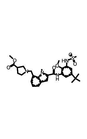 COC(=O)C1CCN(Cc2cccc3cc(C(=O)Nc4cc(C(C)(C)C)cc(NS(C)(=O)=O)c4OC)n(C)c23)C1